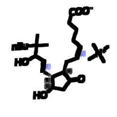 CCCCC(C)(C)C(O)/C=C/[C@H]1[C@H](O)CC(=O)[C@@H]1C/C=C\CCCC(=O)[O-].C[N+](C)(C)C